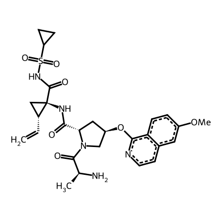 C=C[C@@H]1C[C@]1(NC(=O)[C@@H]1C[C@@H](Oc2nccc3cc(OC)ccc23)CN1C(=O)[C@H](C)N)C(=O)NS(=O)(=O)C1CC1